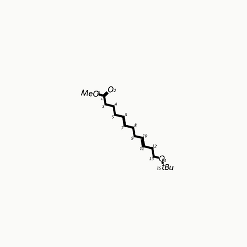 COC(=O)CCCCCCC/C=C/CCOC(C)(C)C